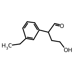 CCc1cccc(C(C=O)CCO)c1